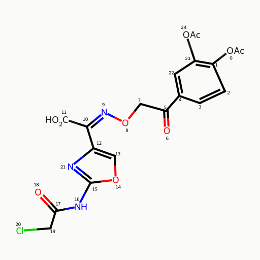 CC(=O)Oc1ccc(C(=O)CON=C(C(=O)O)c2coc(NC(=O)CCl)n2)cc1OC(C)=O